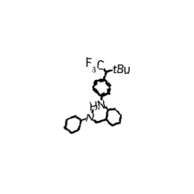 CN(CC1CCCCC1Nc1ccc(C(C(C)(C)C)C(F)(F)F)cc1)C1CCCCC1